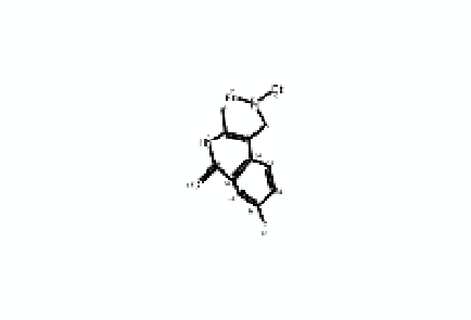 CCN(CC)Cc1c(C)[nH]c(=O)c2cc(F)ccc12